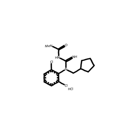 CNC(=O)NC(=N)N(CC1CCCC1)c1c(Cl)cccc1Cl.Cl